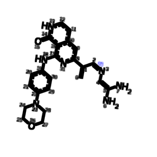 C=C(/C=N\C=C(N)N)c1cc2cc[nH]c(=O)c2c(Nc2ccc(N3CCOCC3)cc2)n1